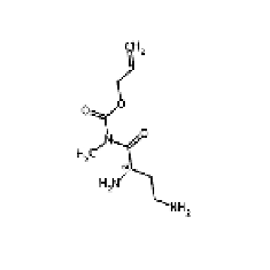 C=CCOC(=O)N(C)C(=O)[C@@H](N)CCN